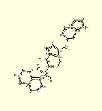 CCn1c(Oc2ccc3cc[nH]c3c2)nnc1[C@@H](C)NS(=O)(=O)c1cccc2cnccc12